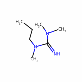 CCCN(C)C(=N)N(C)C